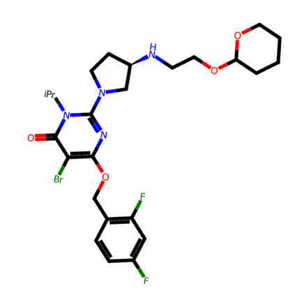 CC(C)n1c(N2CC[C@@H](NCCOC3CCCCO3)C2)nc(OCc2ccc(F)cc2F)c(Br)c1=O